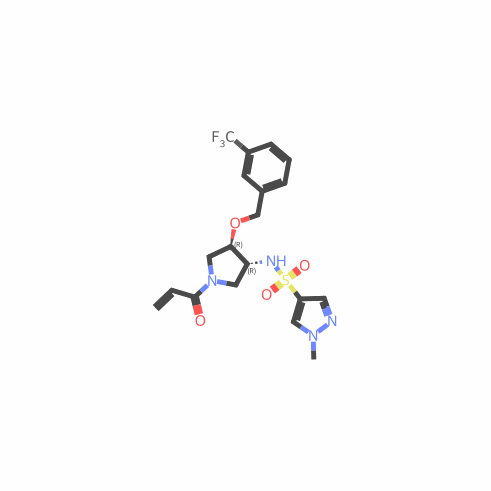 C=CC(=O)N1C[C@@H](NS(=O)(=O)c2cnn(C)c2)[C@H](OCc2cccc(C(F)(F)F)c2)C1